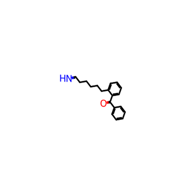 N=CCCCCCc1ccccc1C(=O)c1ccccc1